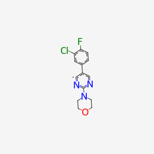 Fc1ccc(-c2[c]nc(N3CCOCC3)nc2)cc1Cl